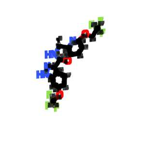 C[C@@H](NC(=O)c1n[nH]c2cc(OC(F)(F)F)ccc12)c1cccc(OCC(F)(F)F)n1